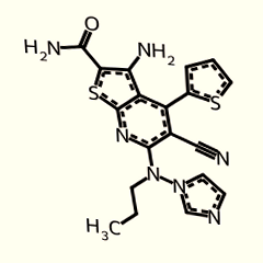 CCCN(c1nc2sc(C(N)=O)c(N)c2c(-c2cccs2)c1C#N)n1ccnc1